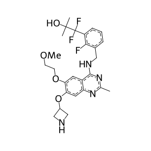 COCCOc1cc2c(NCc3cccc(C(F)(F)C(C)(C)O)c3F)nc(C)nc2cc1OC1CNC1